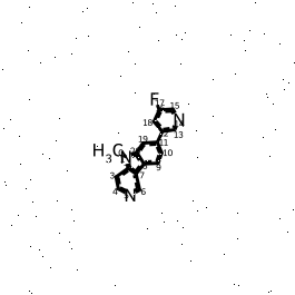 Cn1c2ccncc2c2ccc(-c3cncc(F)c3)cc21